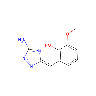 COc1cccc(C=C2N=NC(N)=N2)c1O